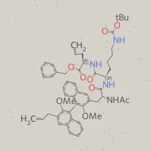 C=CCc1cc2ccccc2c(-c2c(OC)c(CC(NC(C)=O)C(=O)N[C@H](CCCCNC(=O)OC(C)(C)C)C(=O)N[C@H](CC=C)C(=O)OCc3ccccc3)cc3ccccc23)c1OC